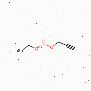 C#CCOBOCCCCC